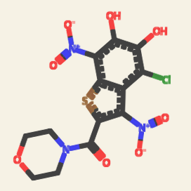 O=C(c1sc2c([N+](=O)[O-])c(O)c(O)c(Cl)c2c1[N+](=O)[O-])N1CCOCC1